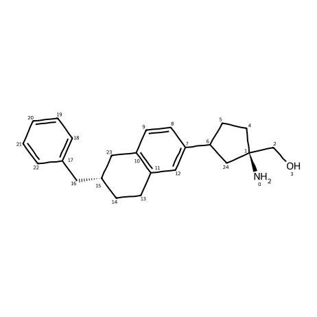 N[C@]1(CO)CCC(c2ccc3c(c2)CC[C@H](Cc2ccccc2)C3)C1